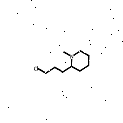 CN1CCCCC1CCCCl